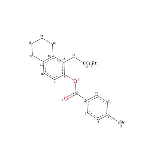 CCCc1ccc(C(=O)Oc2ccc3c(c2CC(=O)OCC)CCCC3)cc1